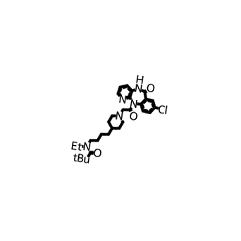 CCN(CCCCC1CCN(CC(=O)N2c3ccc(Cl)cc3C(=O)Nc3cccnc32)CC1)C(=O)C(C)(C)C